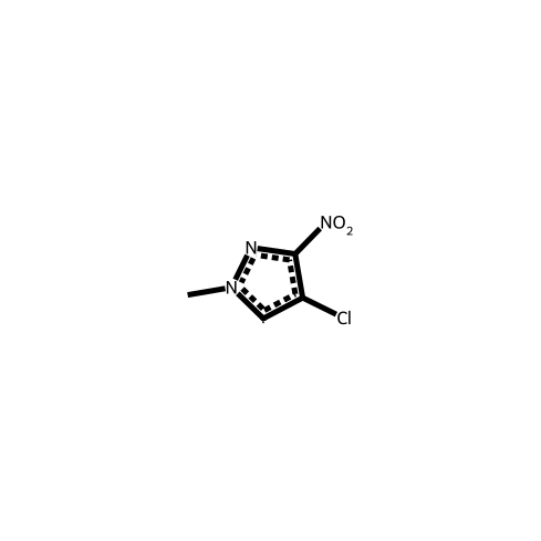 Cn1[c]c(Cl)c([N+](=O)[O-])n1